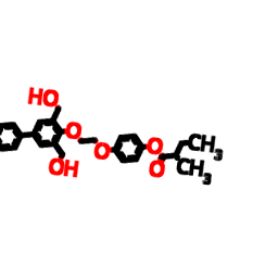 CCC(C)C(=O)Oc1ccc(OCCOc2c(CO)cc(-c3ccccc3)cc2CO)cc1